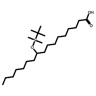 CCCCCCCC(CCCCCCCCC(=O)O)O[Si](C)(C)C(C)(C)C